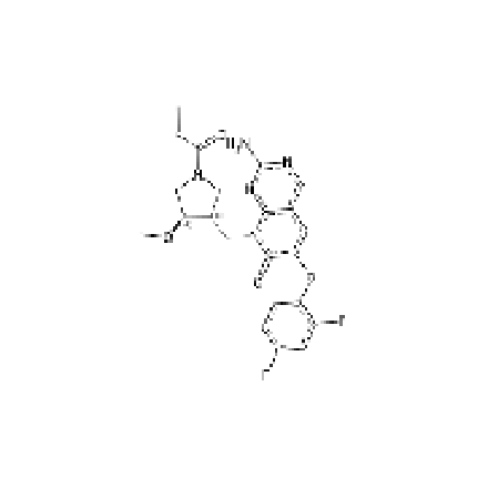 C=CC(=O)N1C[C@H](Cn2c(=O)c(Oc3ccc(F)cc3F)cc3cnc(N)nc32)[C@@H](OC)C1